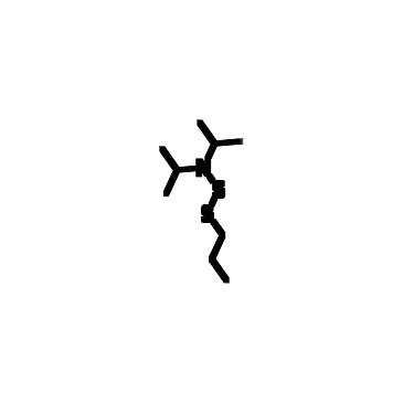 CCCSSN(C(C)C)C(C)C